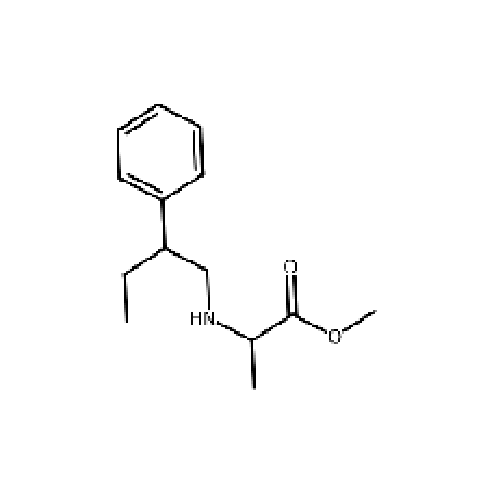 CCC(CNC(C)C(=O)OC)c1ccccc1